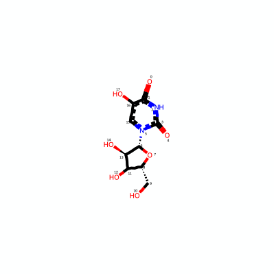 O=c1[nH]c(=O)n([C@@H]2O[C@H](CO)C(O)[C@H]2O)cc1O